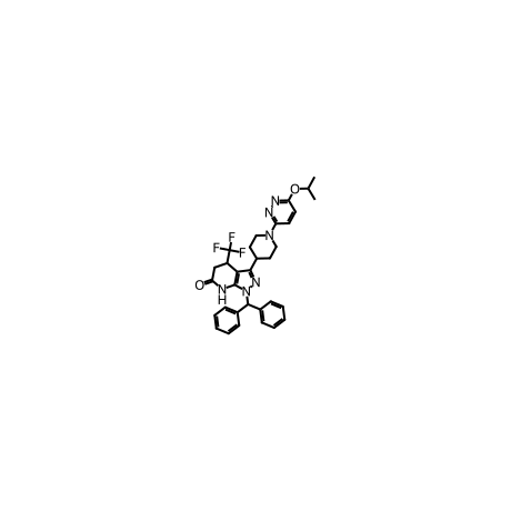 CC(C)Oc1ccc(N2CCC(c3nn(C(c4ccccc4)c4ccccc4)c4c3C(C(F)(F)F)CC(=O)N4)CC2)nn1